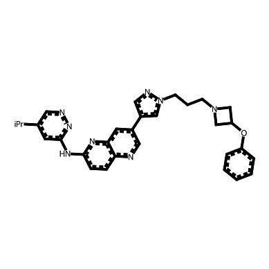 CC(C)c1cnnc(Nc2ccc3ncc(-c4cnn(CCCN5CC(Oc6ccccc6)C5)c4)cc3n2)c1